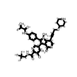 C=C(F)C(=O)Nc1ccc(-c2c(-c3cnc(C(=O)NCC(F)(F)F)c(Cl)c3)c3c(N)ncc(C#CCOC4CCNCC4)c3n2C)cc1